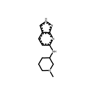 CN1CCCC(Nc2ccc3c[nH]nc3n2)C1